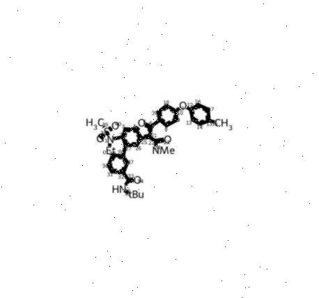 CCN(c1cc2oc(-c3ccc(Oc4ccc(C)cc4)cc3)c(C(=O)NC)c2cc1-c1cccc(C(=O)NC(C)(C)C)c1)S(C)(=O)=O